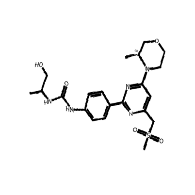 CC(CO)NC(=O)Nc1ccc(-c2nc(CS(C)(=O)=O)cc(N3CCOC[C@@H]3C)n2)cc1